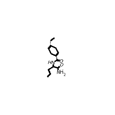 CCCC(NC(=O)[C@H]1CC[C@H](CC)CC1)C(N)=O